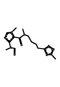 CN(CCCCc1nnn(C)n1)C(=O)c1c(N(C)C=O)ncn1C